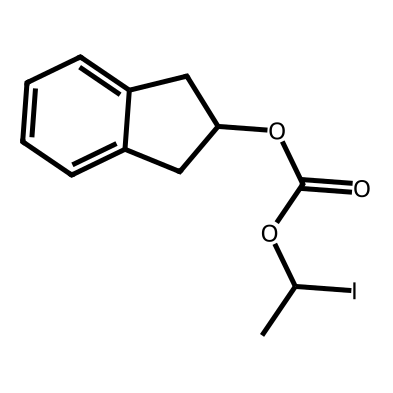 CC(I)OC(=O)OC1Cc2ccccc2C1